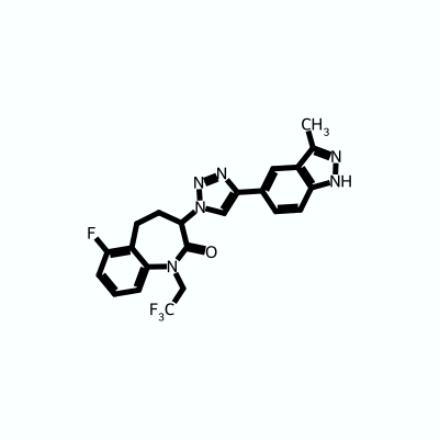 Cc1n[nH]c2ccc(-c3cn(C4CCc5c(F)cccc5N(CC(F)(F)F)C4=O)nn3)cc12